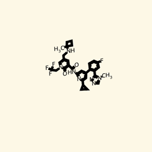 Cn1cnnc1-c1cc(F)ccc1-c1cc(NC(=O)c2cc(CNC3(C)CCC3)cn(CC(F)(F)F)c2=O)nc(C2CC2)c1